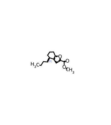 CCC/C=C1\CCCc2oc(C(=O)OC)cc21